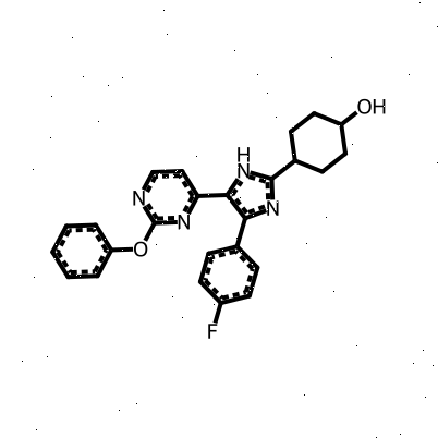 OC1CCC(c2nc(-c3ccc(F)cc3)c(-c3ccnc(Oc4ccccc4)n3)[nH]2)CC1